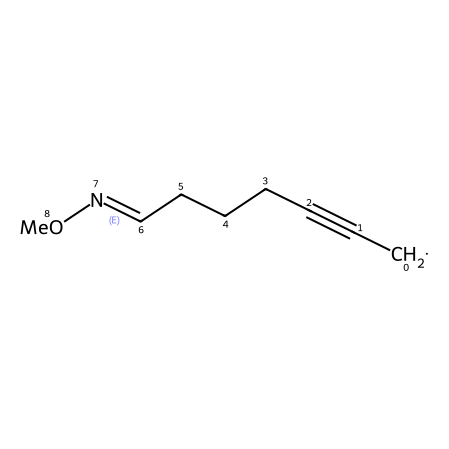 [CH2]C#CCCC/C=N/OC